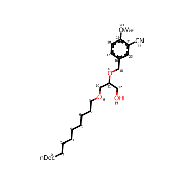 CCCCCCCCCCCCCCCCCCOCC(CO)OCc1ccc(OC)c(C#N)c1